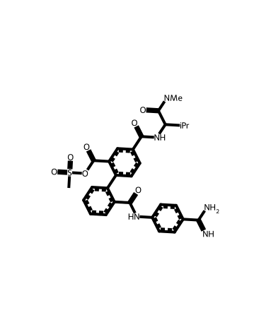 CNC(=O)C(NC(=O)c1ccc(-c2ccccc2C(=O)Nc2ccc(C(=N)N)cc2)c(C(=O)OS(C)(=O)=O)c1)C(C)C